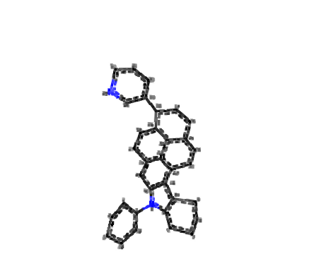 c1ccc(-n2c3ccccc3c3c4ccc5ccc(-c6cccnc6)c6ccc(cc32)c4c56)cc1